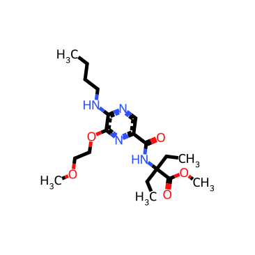 CCCCNc1ncc(C(=O)NC(CC)(CC)C(=O)OC)nc1OCCOC